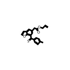 C=CCOC(=O)Cc1cc(C(=S)c2ccc(C)cc2)c2occc2c1